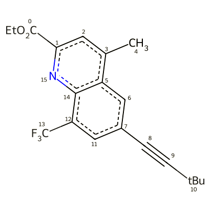 CCOC(=O)c1cc(C)c2cc(C#CC(C)(C)C)cc(C(F)(F)F)c2n1